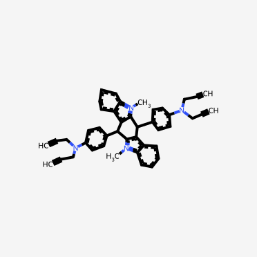 C#CCN(CC#C)c1ccc(C2c3c(n(C)c4ccccc34)C(c3ccc(N(CC#C)CC#C)cc3)c3c2n(C)c2ccccc32)cc1